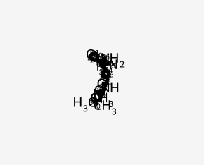 CC(C)(C)Cc1cc(NC(=O)Cc2ccc(-c3nn(C4CCOCC4)c(N)c3C#N)cc2)on1